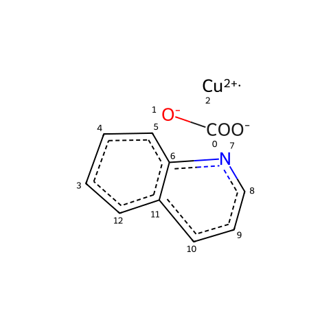 O=C([O-])[O-].[Cu+2].c1ccc2ncccc2c1